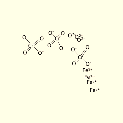 [Fe+3].[Fe+3].[Fe+3].[Fe+3].[O-2].[O-2].[O-2].[O]=[Cr](=[O])([O-])[O-].[O]=[Cr](=[O])([O-])[O-].[O]=[Cr](=[O])([O-])[O-]